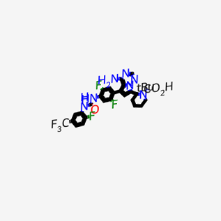 CC(C)(C)C1(c2cc(-c3cc(F)c(NC(=O)Nc4cc(C(F)(F)F)ccc4F)cc3F)c3c(N)ncnn23)CCCCN1C(=O)O